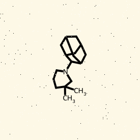 CC1(C)CCCN(C2[C]3CC4CC(C3)CC2C4)C1